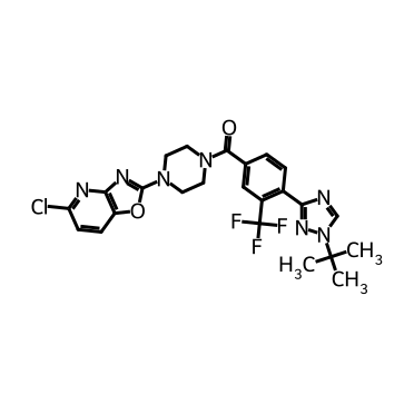 CC(C)(C)n1cnc(-c2ccc(C(=O)N3CCN(c4nc5nc(Cl)ccc5o4)CC3)cc2C(F)(F)F)n1